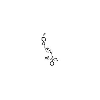 CCCCC(C#N)(CCCN1CCN(CCOc2ccc(F)cc2)CC1)c1ccccc1